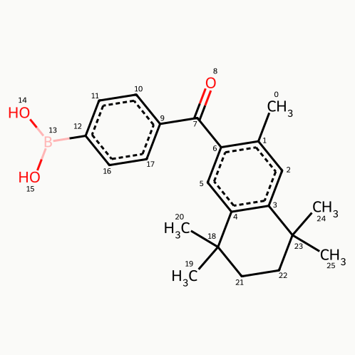 Cc1cc2c(cc1C(=O)c1ccc(B(O)O)cc1)C(C)(C)CCC2(C)C